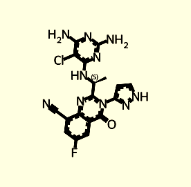 C[C@H](Nc1nc(N)nc(N)c1Cl)c1nc2c(C#N)cc(F)cc2c(=O)n1-c1cc[nH]n1